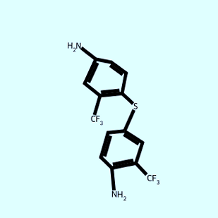 Nc1ccc(Sc2ccc(N)c(C(F)(F)F)c2)c(C(F)(F)F)c1